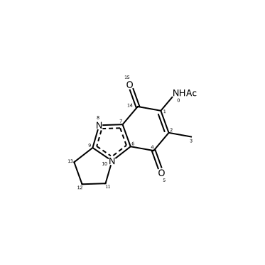 CC(=O)NC1=C(C)C(=O)c2c(nc3n2CCC3)C1=O